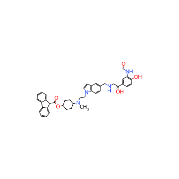 CN(CCn1ccc2cc(CNC[C@@H](O)c3ccc(O)c(NC=O)c3)ccc21)C1CCC(OC(=O)C2c3ccccc3-c3ccccc32)CC1